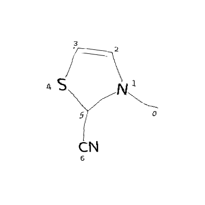 CN1C=[C]SC1C#N